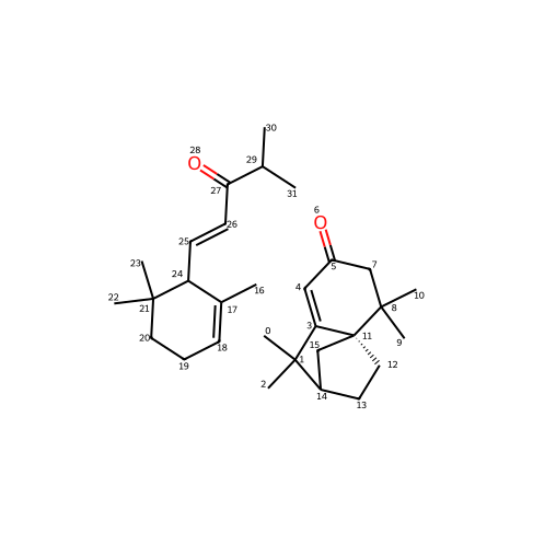 CC1(C)C2=CC(=O)CC(C)(C)[C@]23CCC1C3.CC1=CCCC(C)(C)C1/C=C/C(=O)C(C)C